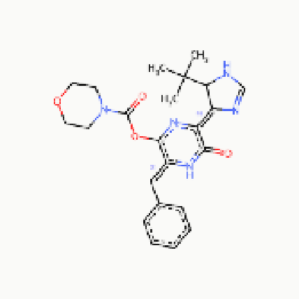 CC(C)(C)C1NC=N/C1=c1/nc(OC(=O)N2CCOCC2)/c(=C/c2ccccc2)[nH]c1=O